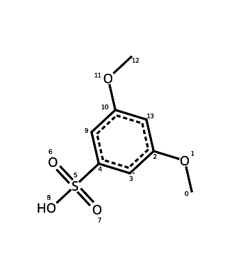 COc1[c]c(S(=O)(=O)O)cc(OC)c1